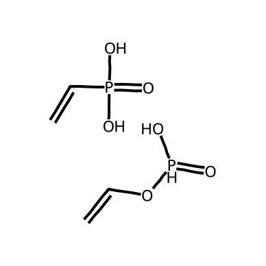 C=CO[PH](=O)O.C=CP(=O)(O)O